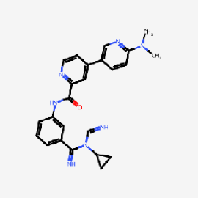 CN(C)c1ccc(-c2ccnc(C(=O)Nc3cccc(C(=N)N(C=N)C4CC4)c3)c2)cn1